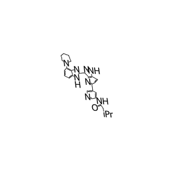 CC(C)CC(=O)Nc1cncc(-c2ccc3[nH]nc(-c4nc5c(N6CCCCC6)cccc5[nH]4)c3n2)c1